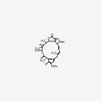 COc1cc2cc(c1Cl)N(C)C(=O)CC(OC(C)=O)C1(C)OC1C(C)C1CC(C)(NC(=O)O1)C(OC)/C=C/C=C(\C)C2